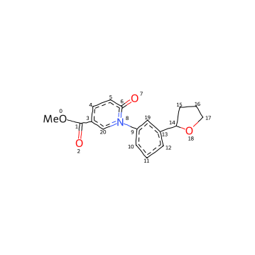 COC(=O)c1ccc(=O)n(-c2cccc(C3CCCO3)c2)c1